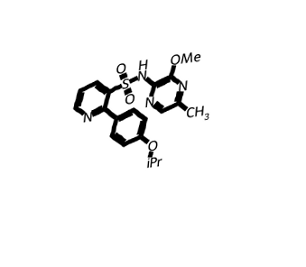 COc1nc(C)cnc1NS(=O)(=O)c1cccnc1-c1ccc(OC(C)C)cc1